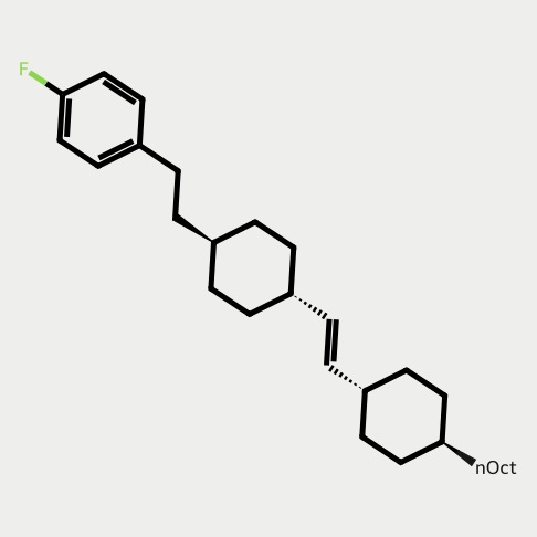 CCCCCCCC[C@H]1CC[C@H](C=C[C@H]2CC[C@H](CCc3ccc(F)cc3)CC2)CC1